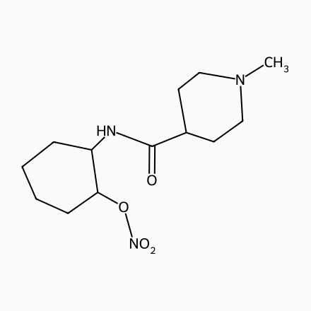 CN1CCC(C(=O)NC2CCCCC2O[N+](=O)[O-])CC1